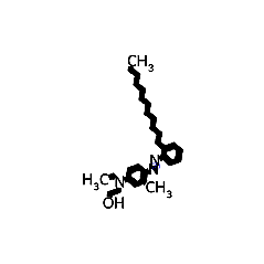 CCCCCCCCCCCCc1ccccc1/N=N/c1ccc(N(CC)CCO)cc1C